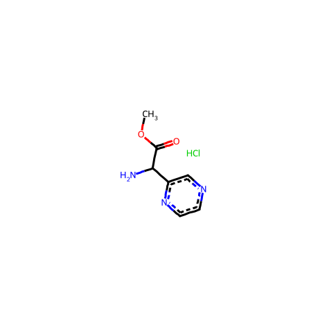 COC(=O)C(N)c1cnccn1.Cl